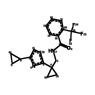 O=C(NCC1(c2nc(C3CC3)cs2)CC1)c1ccccc1C(F)(F)F